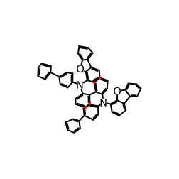 c1ccc(-c2ccc(N(c3ccccc3-c3ccccc3N(c3ccc(-c4ccccc4)cc3)c3cccc4c3oc3ccccc34)c3cccc4c3oc3ccccc34)cc2)cc1